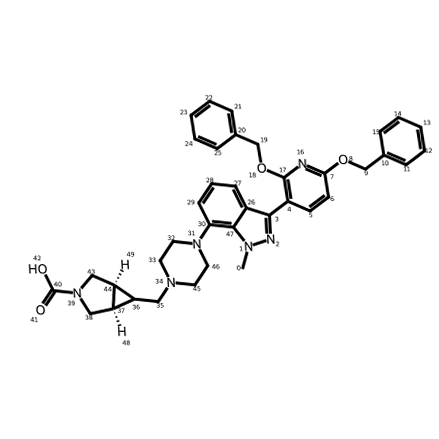 Cn1nc(-c2ccc(OCc3ccccc3)nc2OCc2ccccc2)c2cccc(N3CCN(CC4[C@H]5CN(C(=O)O)C[C@@H]45)CC3)c21